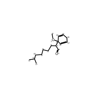 COC1(C(C=O)CCCCCC(C)C)C=CCC=C1